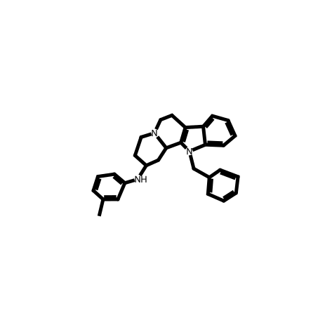 Cc1cccc(NC2CCN3CCc4c(n(Cc5ccccc5)c5ccccc45)C3C2)c1